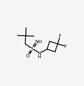 CC(C)(C)CS(=N)(=O)NC1CC(F)(F)C1